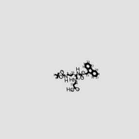 CC(C)(C)OC(=O)NCCC[C@@H](CNCCC(=O)O)NC(=O)OCC1c2ccccc2-c2ccccc21